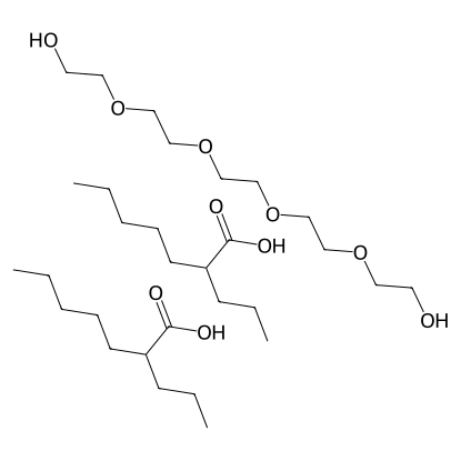 CCCCCC(CCC)C(=O)O.CCCCCC(CCC)C(=O)O.OCCOCCOCCOCCOCCO